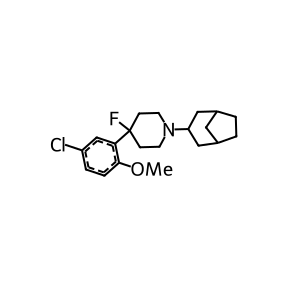 COc1ccc(Cl)cc1C1(F)CCN(C2CC3CCC(C3)C2)CC1